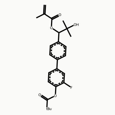 C=C(C)C(=O)OC(c1ccc(-c2ccc(OC(=O)C(C)(C)C)c(F)c2)cc1)C(C)(C)O